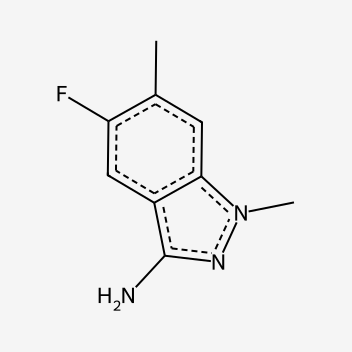 Cc1cc2c(cc1F)c(N)nn2C